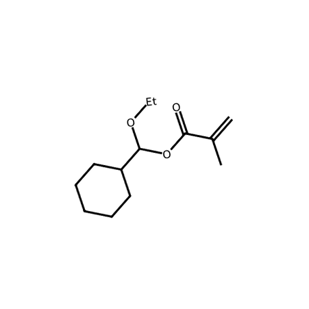 C=C(C)C(=O)OC(OCC)C1CCCCC1